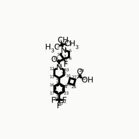 CC(C)(C)N1CC[C@](F)(C(=O)N2CCC(c3ccc(C(F)(F)F)cc3[C@H]3C[C@@H](C(=O)O)C3)CC2)C1